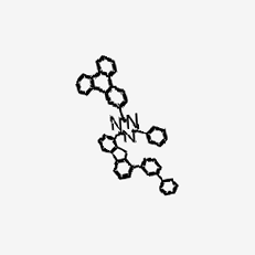 c1ccc(-c2cccc(-c3cccc4c3Cc3c(-c5nc(-c6ccccc6)nc(-c6ccc7c8ccccc8c8ccccc8c7c6)n5)cccc3-4)c2)cc1